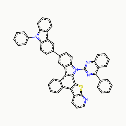 c1ccc(-c2nc(-n3c4ccc(-c5ccc6c(c5)c5ccccc5n6-c5ccccc5)cc4c4c5ccccc5c5c6cccnc6sc5c43)nc3ccccc23)cc1